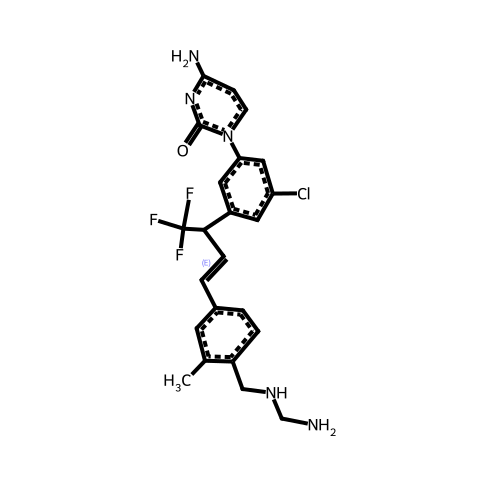 Cc1cc(/C=C/C(c2cc(Cl)cc(-n3ccc(N)nc3=O)c2)C(F)(F)F)ccc1CNCN